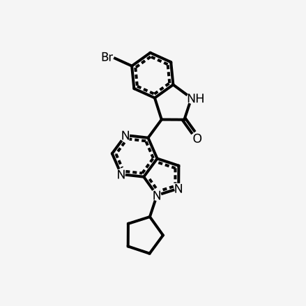 O=C1Nc2ccc(Br)cc2C1c1ncnc2c1cnn2C1CCCC1